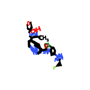 Cc1nn(CC2(O)CCOCC2)cc1-c1ccn2ncc(C(=O)Nc3cc(-n4nnc([C@@H]5C[C@H]5F)n4)ccc3Cl)c2c1